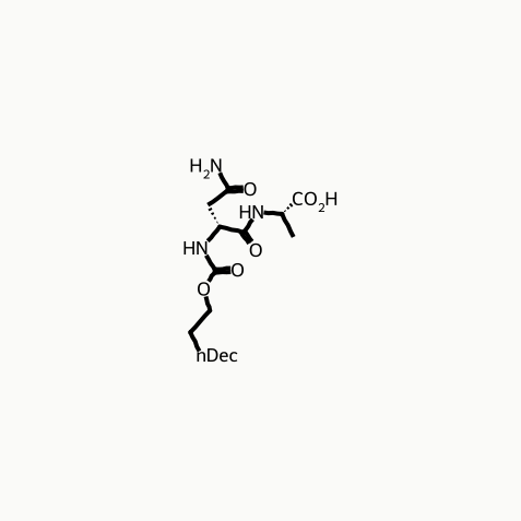 CCCCCCCCCCCCOC(=O)N[C@H](CC(N)=O)C(=O)N[C@@H](C)C(=O)O